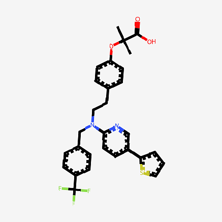 CC(C)(Oc1ccc(CCN(Cc2ccc(C(F)(F)F)cc2)c2ccc(-c3cccs3)cn2)cc1)C(=O)O